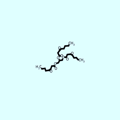 CCCCC1OC1CC(=O)OCC(COC(=O)CC1OC1CCCC)OC(=O)CC1OC1CCCC